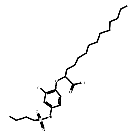 CCCCCCCCCCCCC(Oc1ccc(NS(=O)(=O)CCCC)cc1Cl)C([NH])=O